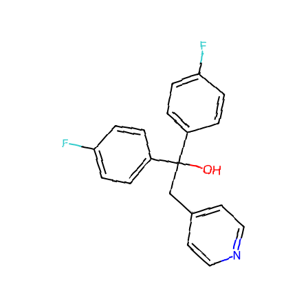 OC(Cc1ccncc1)(c1ccc(F)cc1)c1ccc(F)cc1